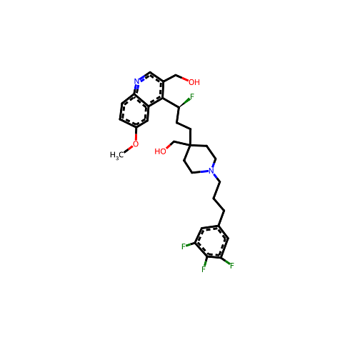 COc1ccc2ncc(CO)c([C@@H](F)CCC3(CO)CCN(CCCc4cc(F)c(F)c(F)c4)CC3)c2c1